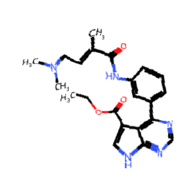 CCOC(=O)c1c[nH]c2ncnc(-c3cccc(NC(=O)C(C)=CCN(C)C)c3)c12